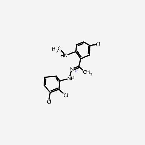 CNc1ccc(Cl)cc1/C(C)=N/Nc1cccc(Cl)c1Cl